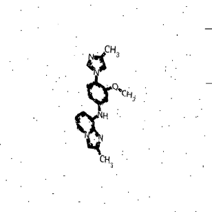 COc1cc(Nc2cccn3cc(C)nc23)ccc1-n1cnc(C)c1